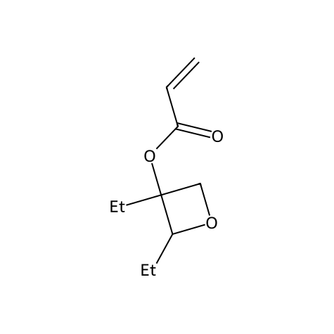 C=CC(=O)OC1(CC)COC1CC